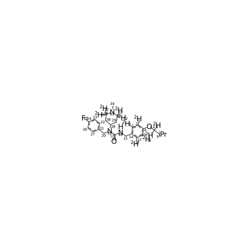 [2H]c1c([2H])c(OC([2H])([2H])C(C)C)c([2H])c([2H])c1CNC(=O)N(Cc1ccc(F)cc1)C1CC([2H])([2H])N(C)C([2H])([2H])C1